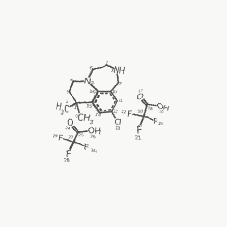 CC1(C)CCN2CCNCc3cc(Cl)cc1c32.O=C(O)C(F)(F)F.O=C(O)C(F)(F)F